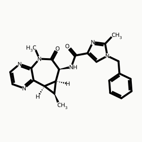 Cc1nc(C(=O)N[C@@H]2C(=O)N(C)c3nccnc3[C@@H]3[C@H](C)[C@@H]32)cn1Cc1ccccc1